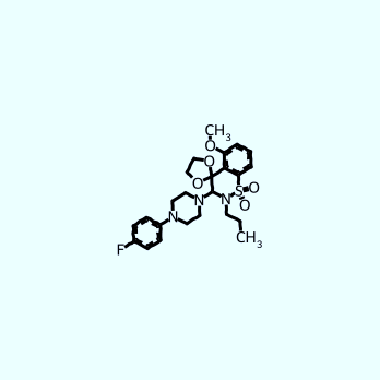 CCCN1C(N2CCN(c3ccc(F)cc3)CC2)C2(OCCO2)c2c(OC)cccc2S1(=O)=O